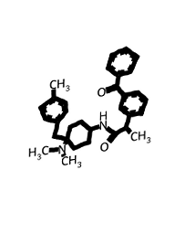 Cc1ccc(CC2(N(C)C)CCC(NC(=O)C(C)c3cccc(C(=O)c4ccccc4)c3)CC2)cc1